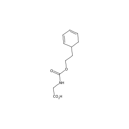 O=C(O)CNC(=O)OCCC1C=CC=CC1